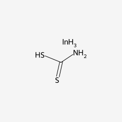 NC(=S)S.[InH3]